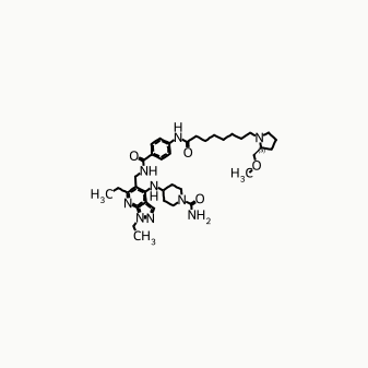 CCc1nc2c(cnn2CC)c(NC2CCN(C(N)=O)CC2)c1CNC(=O)c1ccc(NC(=O)CCCCCCCN2CCC[C@H]2COC)cc1